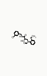 COc1ccccc1N(C=O)CC(O)C(=O)NCc1cccc(Cl)c1